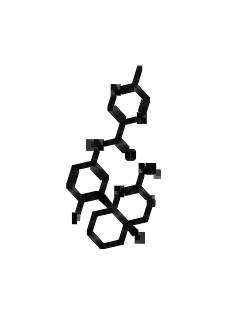 Cc1cnc(C(=O)Nc2ccc(F)c([C@]34CCCC[C@H]3CSC(N)=N4)c2)cn1